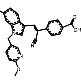 COc1ccc2c(C=C(C#N)c3ccc(C(=O)O)cc3)cn(Cc3ccc(OC)nc3)c2c1